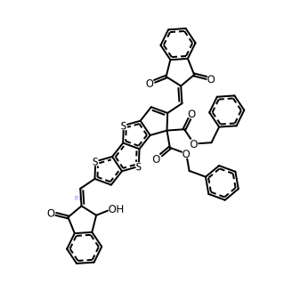 O=C1C(=CC2=Cc3sc4c(sc5cc(/C=C6/C(=O)c7ccccc7C6O)sc54)c3C2(C(=O)OCc2ccccc2)C(=O)OCc2ccccc2)C(=O)c2ccccc21